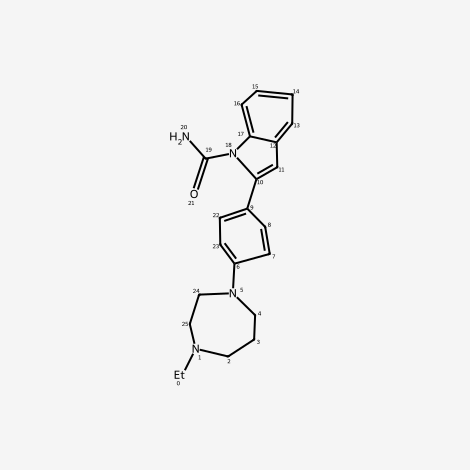 CCN1CCCN(c2ccc(-c3cc4ccccc4n3C(N)=O)cc2)CC1